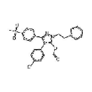 CS(=O)(=O)c1ccc(-c2nn(CCc3ccccc3)c(OC=O)c2-c2ccc(Cl)cc2)cc1